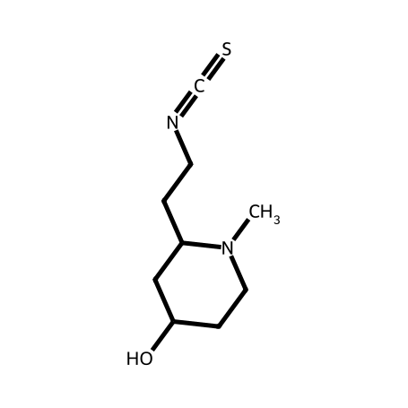 CN1CCC(O)CC1CCN=C=S